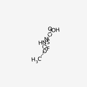 CCCCCOc1ccc(Nc2nc(-c3ccc(C(=O)O)cc3)cs2)cc1F